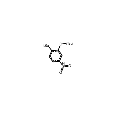 CCCCOc1cc([SH](=O)=O)ccc1C(C)(C)C